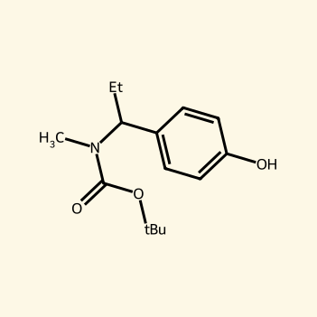 CCC(c1ccc(O)cc1)N(C)C(=O)OC(C)(C)C